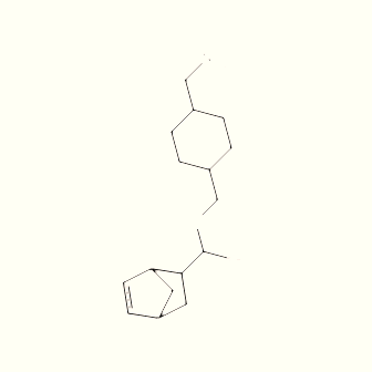 NCC1CCC(COC(O)C2CC3C=CC2C3)CC1